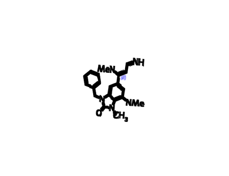 CN/C(=C\C=N)c1cc(NC)c2c(c1)n(Cc1ccccc1)c(=O)n2C